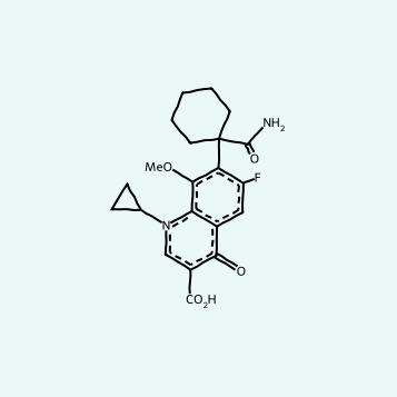 COc1c(C2(C(N)=O)CCCCC2)c(F)cc2c(=O)c(C(=O)O)cn(C3CC3)c12